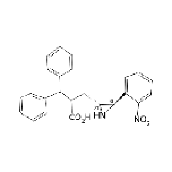 O=C(O)C(C[C@H]1N[C@@H]1c1ccccc1[N+](=O)[O-])C(c1ccccc1)c1ccccc1